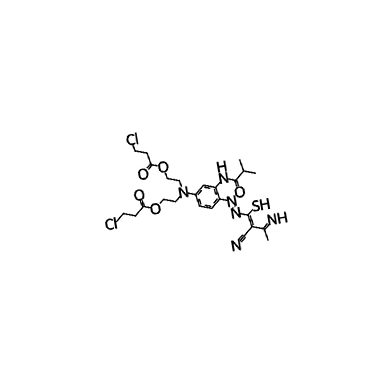 CC(=N)/C(C#N)=C(S)/N=N/c1ccc(N(CCOC(=O)CCCl)CCOC(=O)CCCl)cc1NC(=O)C(C)C